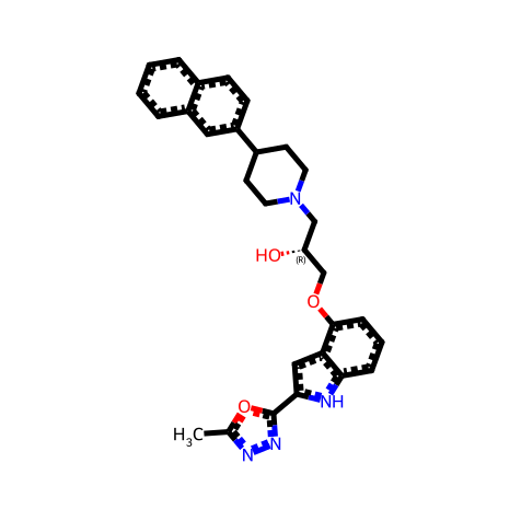 Cc1nnc(-c2cc3c(OC[C@H](O)CN4CCC(c5ccc6ccccc6c5)CC4)cccc3[nH]2)o1